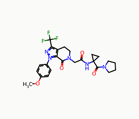 COc1ccc(-n2nc(C(F)(F)F)c3c2C(=O)N(CC(=O)NC2(C(=O)N4CCCC4)CC2)CC3)cc1